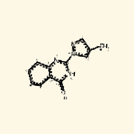 Cc1cnn(-c2nc3ccccc3c(=O)[nH]2)c1